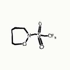 O=S(=O)(N1CCCO1)C(F)(F)F